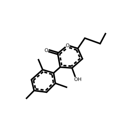 CCCc1cc(O)c(-c2c(C)cc(C)cc2C)c(=O)o1